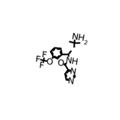 CC(C)(C)N.CC(NC(=O)c1ccncn1)c1cccc(OC(F)(F)F)c1